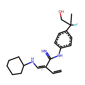 C=C/C(=C/NC1CCCCC1)C(=N)Nc1ccc(C(C)(F)CO)cc1